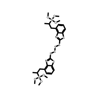 CO[Si](OC)(OC)C(C)Cc1cccc2sc(SSSSc3nc4c(CC(C)[Si](OC)(OC)OC)cccc4s3)nc12